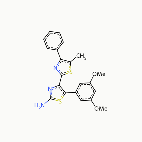 COc1cc(OC)cc(-c2sc(N)nc2-c2nc(-c3ccccc3)c(C)s2)c1